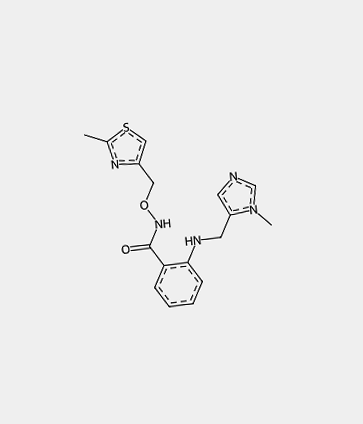 Cc1nc(CONC(=O)c2ccccc2NCc2cncn2C)cs1